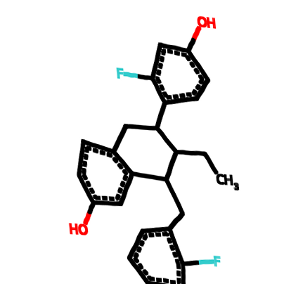 CCC1C(c2ccc(O)cc2F)Cc2ccc(O)cc2C1Cc1ccccc1F